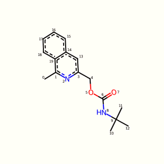 Cc1nc(COC(=O)NC(C)(C)C)cc2ccccc12